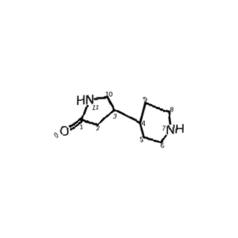 O=C1CC(C2CCNCC2)CN1